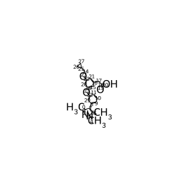 Cc1nn(C)c(C)c1-c1cccc(Oc2cc(CC(=O)O)cc(OCC3CC3)c2)c1